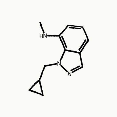 CNc1cccc2cnn(CC3CC3)c12